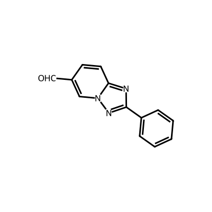 O=Cc1ccc2nc(-c3ccccc3)nn2c1